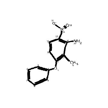 Cc1c(Oc2ccccc2)ccc([N+](=O)[O-])c1N